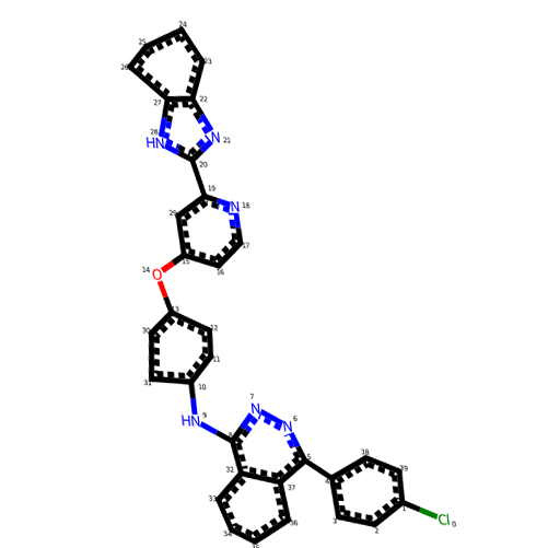 Clc1ccc(-c2nnc(Nc3ccc(Oc4ccnc(-c5nc6ccccc6[nH]5)c4)cc3)c3ccccc23)cc1